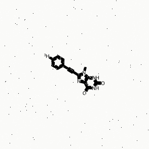 [3H]c1ccc(C#Cc2nc3c(=O)[nH]c(=O)[nH]c3n2C)cc1